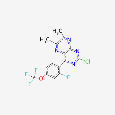 Cc1nc2nc(Cl)nc(-c3ccc(OC(F)(F)F)cc3F)c2nc1C